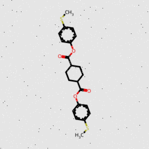 CSc1ccc(OC(=O)C2CCC(C(=O)Oc3ccc(SC)cc3)CC2)cc1